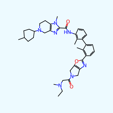 CCN(C)CC(=O)N1Cc2nc(-c3cccc(-c4cccc(NC(=O)c5nc6c(n5C)CCN(C5CCC(C)CC5)C6)c4C)c3C)oc2C1